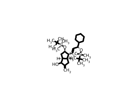 C=C1C[C@@H]2[C@H](/C=C/[C@@H](O[Si](C)(C)C(C)(C)C)C3CCCCC3)[C@H](O[Si](C)(C)C(C)(C)C)C[C@@H]2C1O